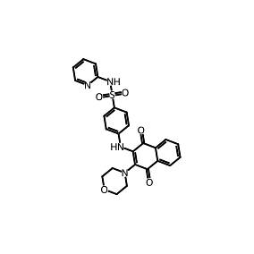 O=C1C(Nc2ccc(S(=O)(=O)Nc3ccccn3)cc2)=C(N2CCOCC2)C(=O)c2ccccc21